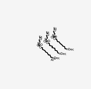 CCCCCCCCCCCCCCCCCCOP(=O)([O-])OCCOCC.CCCCCCCCCCCCCCCCCCOP(=O)([O-])OCCOCC.CCCCCCCCCCCCCCCCCCOP(=O)([O-])OCCOCC.[Al+3]